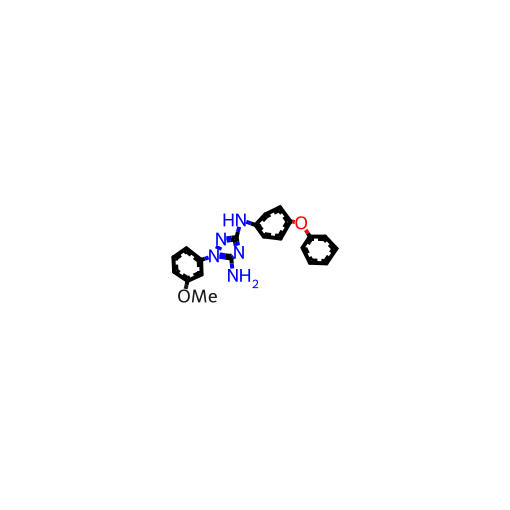 COc1cccc(-n2nc(Nc3ccc(Oc4ccccc4)cc3)nc2N)c1